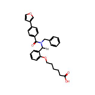 [2H]C(c1ccccc1OCCCCCC(=O)O)N(Cc1ccccc1)C(=O)c1ccc(-c2ccoc2)cc1